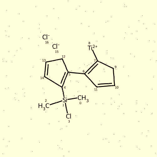 C[Si](C)(Cl)C1=C(C2=[C]([Ti+2])CC=C2)CC=C1.[Cl-].[Cl-]